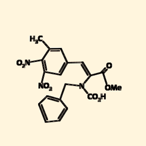 COC(=O)C(=Cc1cc(C)c([N+](=O)[O-])c([N+](=O)[O-])c1)N(Cc1ccccc1)C(=O)O